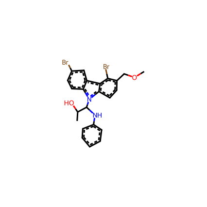 COCc1ccc2c(c1Br)c1cc(Br)ccc1n2C(Nc1ccccc1)C(C)O